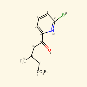 CCOC(=O)CC(CC(=O)c1cccc(Br)n1)C(F)(F)F